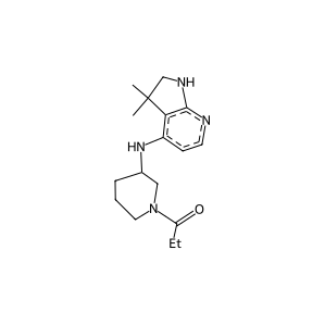 CCC(=O)N1CCCC(Nc2ccnc3c2C(C)(C)CN3)C1